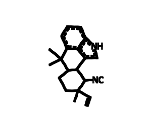 [C-]#[N+]C1C2c3c[nH]c4cccc(c34)C(C)(C)C2CCC1(C)C=C